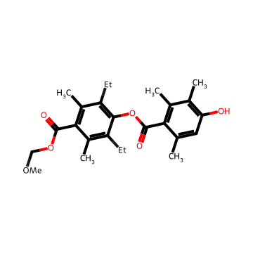 CCc1c(C)c(C(=O)OCOC)c(C)c(CC)c1OC(=O)c1c(C)cc(O)c(C)c1C